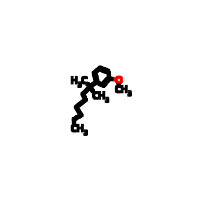 CCCCCCC(C)(C)c1cccc(OC)c1